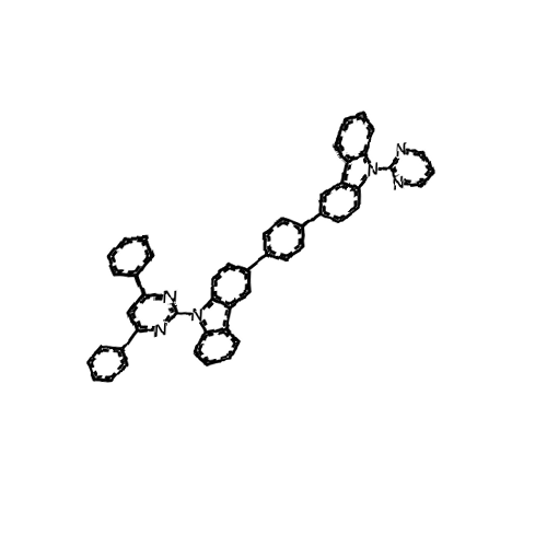 c1ccc(-c2cc(-c3ccccc3)nc(-n3c4ccccc4c4cc(-c5ccc(-c6ccc7c(c6)c6ccccc6n7-c6ncccn6)cc5)ccc43)n2)cc1